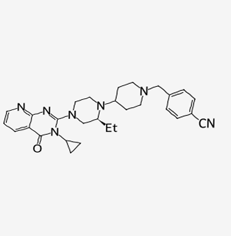 CC[C@H]1CN(c2nc3ncccc3c(=O)n2C2CC2)CCN1C1CCN(Cc2ccc(C#N)cc2)CC1